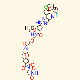 COc1cc(Nc2ncc3c(n2)-c2ccc(Cl)cc2C(c2c(F)cccc2OC)=NC3)ccc1C(=O)NCCOCCC(=O)N1CCC2(CCc3cc4c(cc3O2)C(=O)N(C2CCC(=O)NC2=O)C4=O)CC1